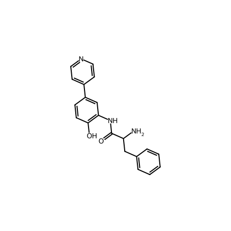 NC(Cc1ccccc1)C(=O)Nc1cc(-c2ccncc2)ccc1O